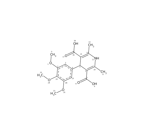 COc1cc(C2C(C(=O)O)=C(C)NC(C)=C2C(=O)O)cc(OC)c1OC